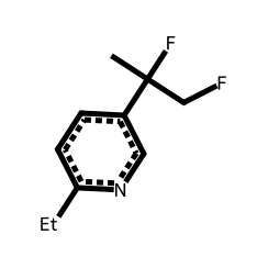 CCc1ccc(C(C)(F)CF)cn1